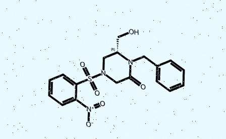 O=C1CN(S(=O)(=O)c2ccccc2[N+](=O)[O-])C[C@H](CO)N1Cc1ccccc1